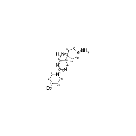 CCC1CCN(c2ncc(C3(N)CCC(N)CC3)cn2)CC1